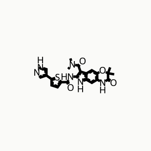 CN(C)C(=O)c1c(NC(=O)c2ccc(-c3cn[nH]c3)s2)[nH]c2cc3c(cc12)OC(C)(C)C(=O)N3